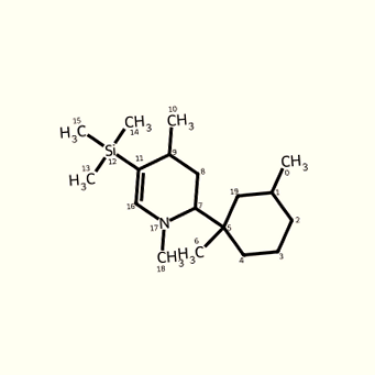 CC1CCCC(C)(C2CC(C)C([Si](C)(C)C)=CN2C)C1